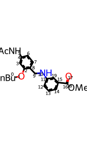 CCCCOc1cc(NC(C)=O)ccc1CNc1cccc(C(=O)OC)c1